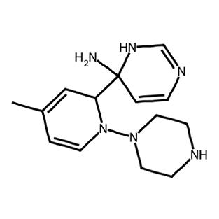 CC1=CC(C2(N)C=CN=CN2)N(N2CCNCC2)C=C1